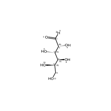 [2H]C(=O)[C@H](O)[C@@H](O)[C@@H](O)[C@H](O)CO